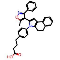 Cc1onc(-c2ccccc2)c1-c1cc2c(n1-c1ccc(CCCC(=O)O)cc1)CCc1ccccc1-2